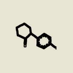 O=C1CCCCC1c1ccc(I)cc1